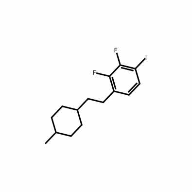 CC1CCC(CCc2ccc(I)c(F)c2F)CC1